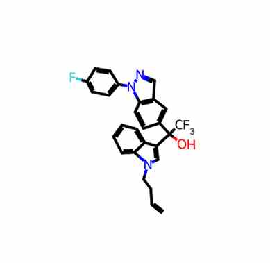 C=CCCn1cc(C(O)(c2ccc3c(cnn3-c3ccc(F)cc3)c2)C(F)(F)F)c2ccccc21